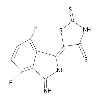 N=C1NC(=C2SC(=S)NC2=S)c2c(F)ccc(F)c21